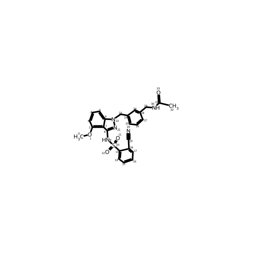 COc1cccc2c1c(NS(=O)(=O)c1ccccc1C#N)nn2Cc1cccc(CNC(C)=O)c1